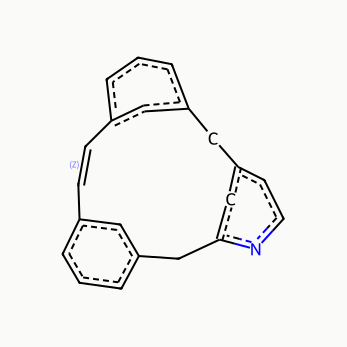 C1=C\c2cccc(c2)Cc2cc(ccn2)Cc2cccc/1c2